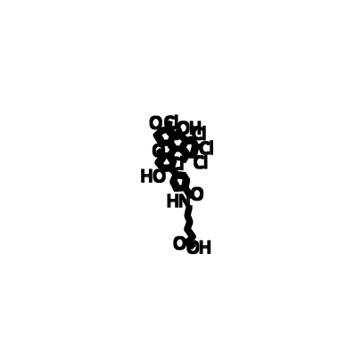 O=C(O)CCCCCNC(=O)c1ccc(-c2cc3c(-c4c(Cl)c(Cl)c(Cl)c(Cl)c4C(=O)O)c4cc(Cl)c(=O)cc-4oc3cc2O)cc1